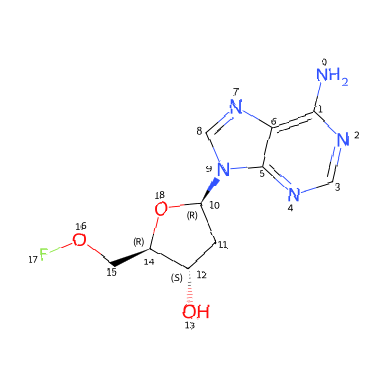 Nc1ncnc2c1ncn2[C@H]1C[C@H](O)[C@@H](COF)O1